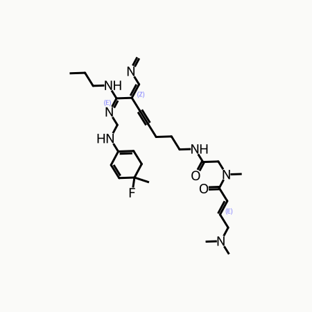 C=N/C=C(C#CCCCNC(=O)CN(C)C(=O)/C=C/CN(C)C)\C(=N/CNC1=CCC(C)(F)C=C1)NCCC